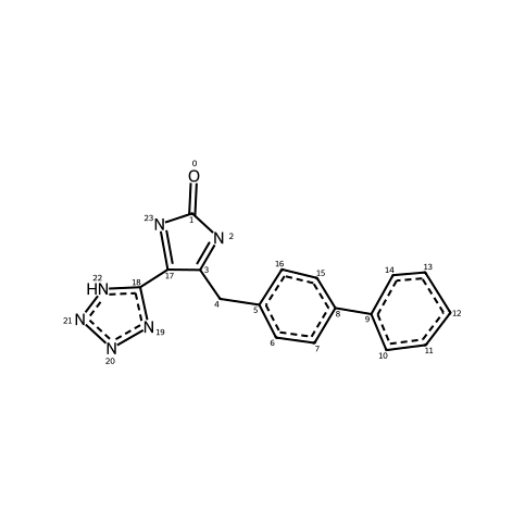 O=C1N=C(Cc2ccc(-c3ccccc3)cc2)C(c2nnn[nH]2)=N1